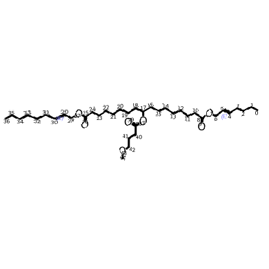 CCCC/C=C/COC(=O)CCCCCCCC(CCCCCCCC(=O)OC/C=C/CCCCCC)OC(=O)CCCOC